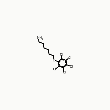 NCCCCCCOc1c(Cl)c(Cl)c(Cl)c(Cl)c1Cl